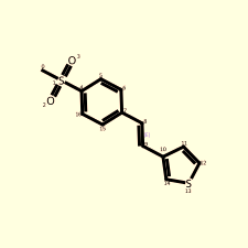 CS(=O)(=O)c1ccc(/C=C/c2ccsc2)cc1